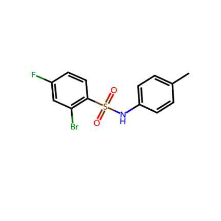 Cc1ccc(NS(=O)(=O)c2ccc(F)cc2Br)cc1